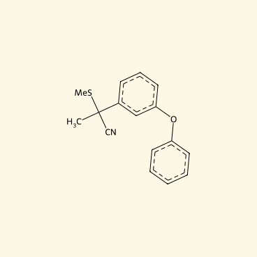 CSC(C)(C#N)c1cccc(Oc2ccccc2)c1